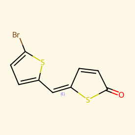 O=C1C=C/C(=C\c2ccc(Br)s2)S1